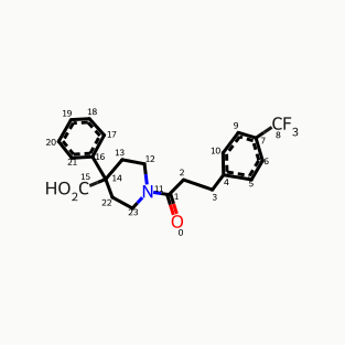 O=C(CCc1ccc(C(F)(F)F)cc1)N1CCC(C(=O)O)(c2ccccc2)CC1